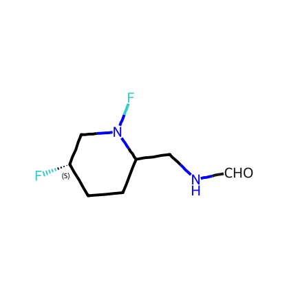 O=CNCC1CC[C@H](F)CN1F